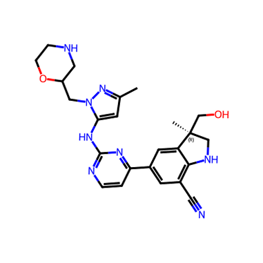 Cc1cc(Nc2nccc(-c3cc(C#N)c4c(c3)[C@@](C)(CO)CN4)n2)n(CC2CNCCO2)n1